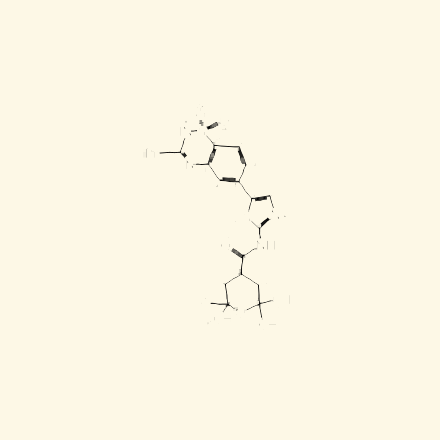 CC(C)C1=Nc2cc(-c3cnc(NC(=O)C4CC(C)(C)OC(C)(C)C4)s3)ccc2S(=O)(=O)N1